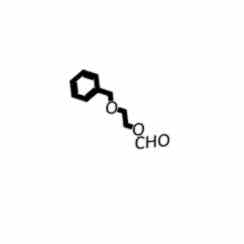 O=COCCOCc1ccccc1